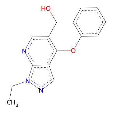 CCn1ncc2c(Oc3ccccc3)c(CO)cnc21